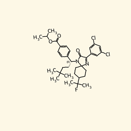 CC(C)OC(=O)c1ccc([C@@H](CCC(C)(C)C)N2C(=O)C(c3cc(Cl)cc(Cl)c3)=NC23CCC(C(C)(C)F)CC3)cc1